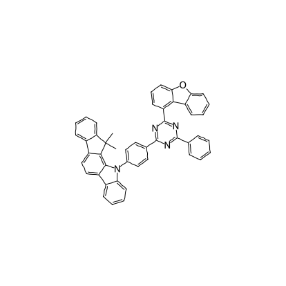 CC1(C)c2ccccc2-c2ccc3c4ccccc4n(-c4ccc(-c5nc(-c6ccccc6)nc(-c6cccc7oc8ccccc8c67)n5)cc4)c3c21